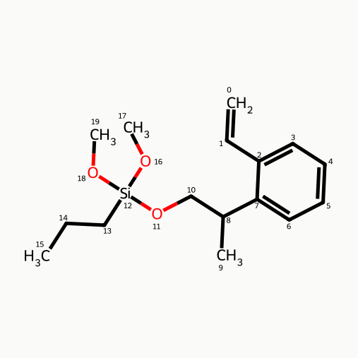 C=Cc1ccccc1C(C)CO[Si](CCC)(OC)OC